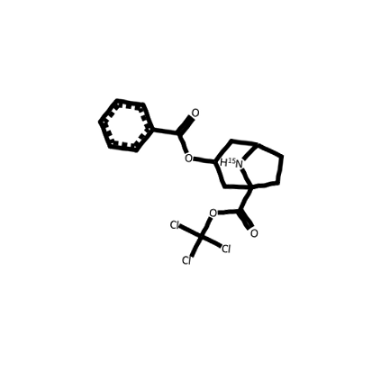 O=C(OC1CC2CCC(C(=O)OC(Cl)(Cl)Cl)(C1)[15NH]2)c1ccccc1